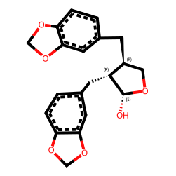 O[C@H]1OC[C@H](Cc2ccc3c(c2)OCO3)[C@H]1Cc1ccc2c(c1)OCO2